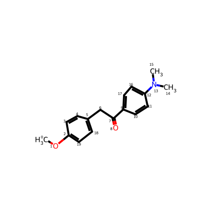 COc1ccc(CC(=O)c2ccc(N(C)C)cc2)cc1